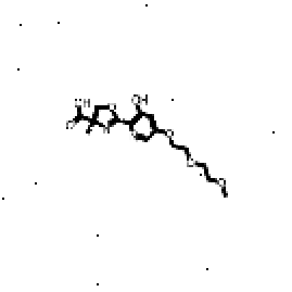 COCCOCCOc1cnc(C2=NC(C)(C(=O)O)CO2)c(O)c1